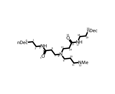 CCCCCCCCCCCCNC(=O)CCN(CCCNC)CCC(=O)NCCCCCCCCCCCC